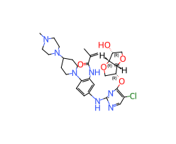 C=C(C)C(=O)Nc1cc(Nc2ncc(Cl)c(O[C@@H]3CO[C@H]4[C@@H]3OC[C@H]4O)n2)ccc1N1CCC(N2CCN(C)CC2)CC1